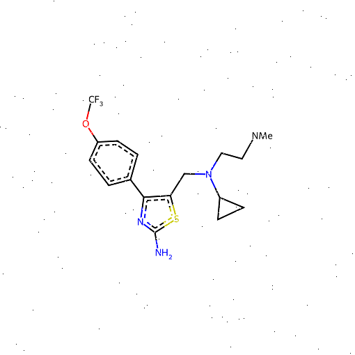 CNCCN(Cc1sc(N)nc1-c1ccc(OC(F)(F)F)cc1)C1CC1